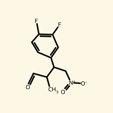 CC(C=O)C(C[N+](=O)[O-])c1ccc(F)c(F)c1